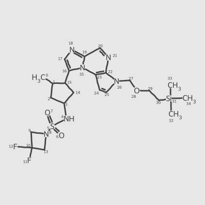 CC1CC(NS(=O)(=O)N2CC(F)(F)C2)CC1c1cnc2cnc3c(ccn3COCC[Si](C)(C)C)n12